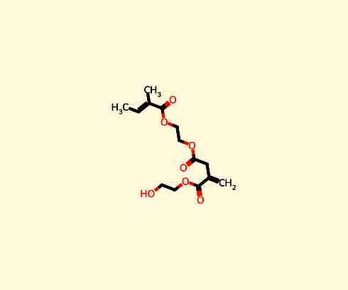 C=C(CC(=O)OCCOC(=O)C(C)=CC)C(=O)OCCO